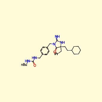 CCCCNC(=O)NCc1ccc(CN2C(=N)NC(CCC3CCCCC3)(CC(C)C)C2=O)cc1